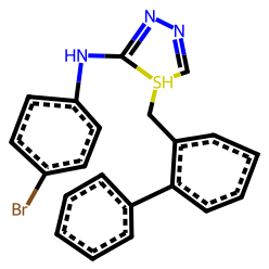 Brc1ccc(NC2=NN=C[SH]2Cc2ccccc2-c2ccccc2)cc1